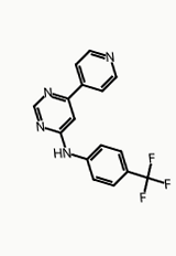 FC(F)(F)c1ccc(Nc2cc(-c3ccncc3)ncn2)cc1